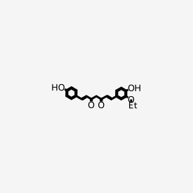 CCOc1cc(C=CC(=O)CC(=O)C=Cc2ccc(O)cc2)ccc1O